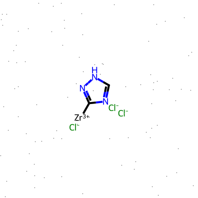 [Cl-].[Cl-].[Cl-].[Zr+3][c]1nc[nH]n1